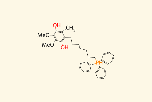 COc1c(O)c(C)c(CCCCCCC[PH](c2ccccc2)(c2ccccc2)c2ccccc2)c(O)c1OC